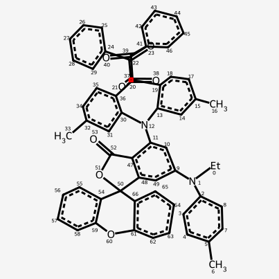 CCN(c1ccc(C)cc1)c1cc(N(c2cc(C)ccc2C(=O)C(=O)c2ccccc2)c2cc(C)ccc2C(=O)C(=O)c2ccccc2)c2c(c1)C1(OC2=O)c2ccccc2Oc2ccccc21